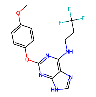 COc1ccc(Oc2nc(NCCC(F)(F)F)c3nc[nH]c3n2)cc1